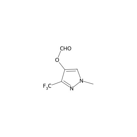 Cn1cc(OC=O)c(C(F)(F)F)n1